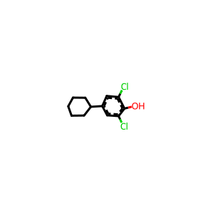 Oc1c(Cl)cc(C2CCCCC2)cc1Cl